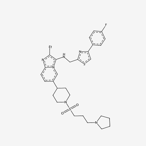 CCc1nc2ccc(C3CCN(S(=O)(=O)CCCN4CCCC4)CC3)cn2c1NCc1nc(-c2ccc(F)cc2)cs1